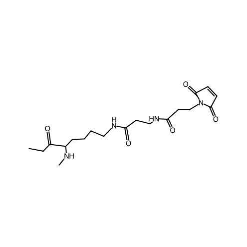 CCC(=O)C(CCCCNC(=O)CCNC(=O)CCN1C(=O)C=CC1=O)NC